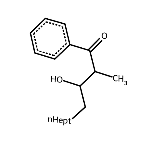 CCCCCCCCC(O)C(C)C(=O)c1ccccc1